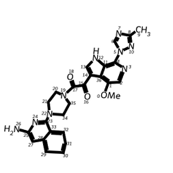 COc1cnc(-n2cnc(C)n2)c2[nH]cc(C(=O)C(=O)N3CCN(c4nc(N)cc5ccccc45)CC3)c12